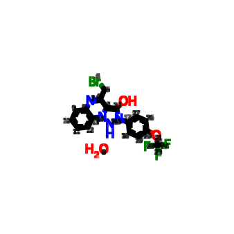 O.OC1=C2C(CBr)=Nc3ccccc3N2NN1c1ccc(OC(F)(F)F)cc1